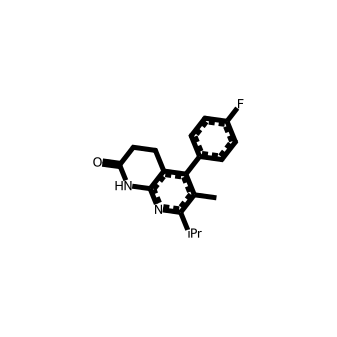 Cc1c(C(C)C)nc2c(c1-c1ccc(F)cc1)CCC(=O)N2